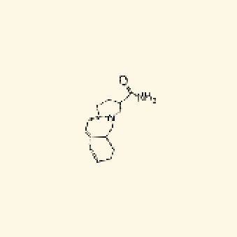 NC(=O)C1CCC2=CC=C3C=CCCC3CN2C1